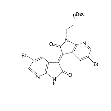 CCCCCCCCCCCCN1C(=O)/C(=C2/C(=O)Nc3ncc(Br)cc32)c2cc(Br)cnc21